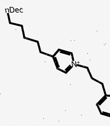 CCCCCCCCCCCCCCCc1cc[n+](CCCc2ccccc2)cc1